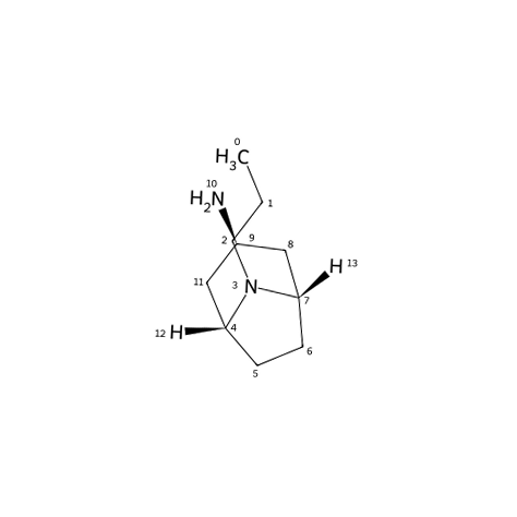 CCCN1[C@@H]2CC[C@H]1C[C@H](N)C2